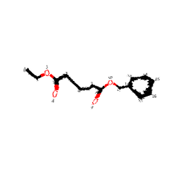 CCOC(=O)CCCC(=O)OCc1ccccc1